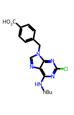 CCCCNc1nc(Cl)nc2c1ncn2Cc1ccc(C(=O)O)cc1